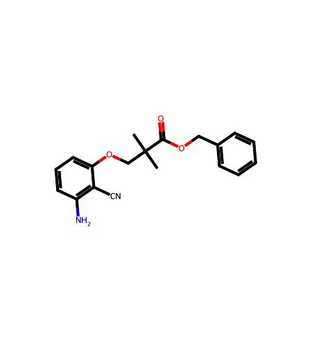 CC(C)(COc1cccc(N)c1C#N)C(=O)OCc1ccccc1